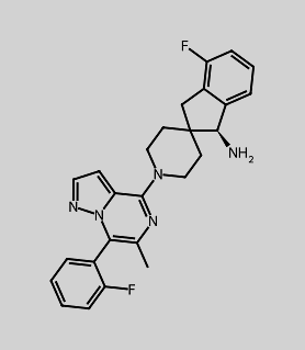 Cc1nc(N2CCC3(CC2)Cc2c(F)cccc2[C@H]3N)c2ccnn2c1-c1ccccc1F